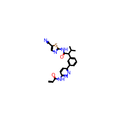 C=CC(=O)Nc1ccc(-c2cccc(C(C(=O)Nc3ncc(C#N)s3)C(C)C)c2)nn1